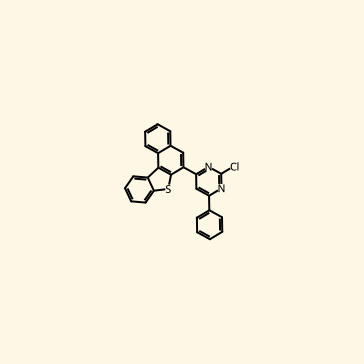 Clc1nc(-c2ccccc2)cc(-c2cc3ccccc3c3c2sc2ccccc23)n1